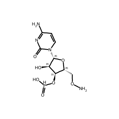 NOC[C@H]1O[C@@H](n2ccc(N)nc2=O)[C@H](O)[C@@H]1O[PH](=O)O